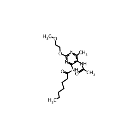 CCCCCCC(=O)Nc1nc(OCCOC)nc(C)c1NC(C)=O